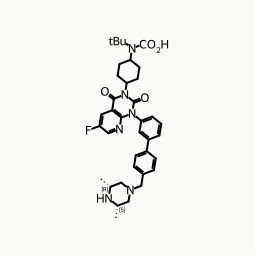 C[C@@H]1CN(Cc2ccc(-c3cccc(-n4c(=O)n(C5CCC(N(C(=O)O)C(C)(C)C)CC5)c(=O)c5cc(F)cnc54)c3)cc2)C[C@H](C)N1